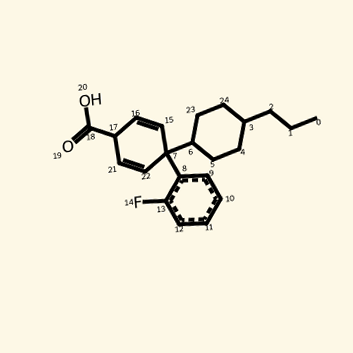 CCCC1CCC(C2(c3ccccc3F)C=CC(C(=O)O)C=C2)CC1